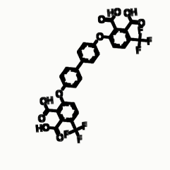 O=C(O)c1c(Oc2ccc(-c3ccc(Oc4ccc(C(F)(F)F)c(C(=O)O)c4C(=O)O)cc3)cc2)ccc(C(F)(F)F)c1C(=O)O